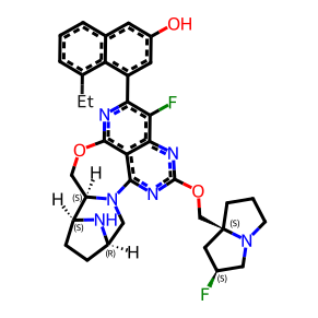 CCc1cccc2cc(O)cc(-c3nc4c5c(nc(OC[C@@]67CCCN6C[C@@H](F)C7)nc5c3F)N3C[C@H]5CC[C@H](N5)[C@H]3CO4)c12